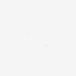 CC1CC(C)N(C)C(C)(C)C(C)N1